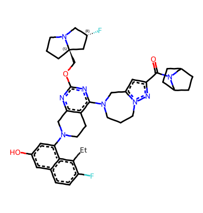 CCc1c(F)ccc2cc(O)cc(N3CCc4c(nc(OC[C@@]56CCCN5C[C@H](F)C6)nc4N4CCCn5nc(C(=O)N6C7CCC6CC7)cc5C4)C3)c12